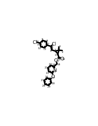 CC1(C)C(C=C(Cl)c2ccc(Cl)cc2)C1C(=O)OCc1cccc(Oc2ccccc2)n1